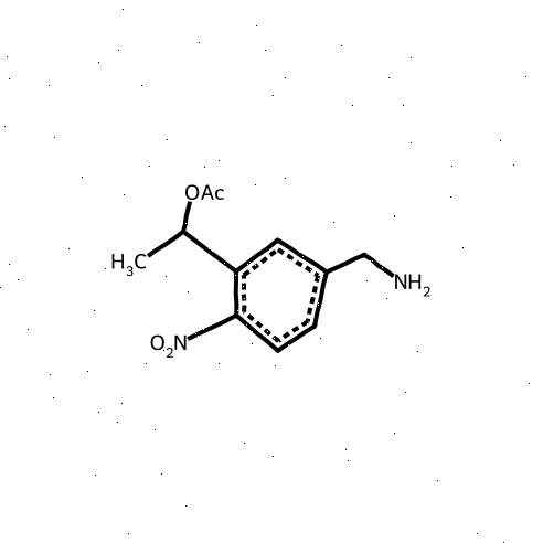 CC(=O)OC(C)c1cc(CN)ccc1[N+](=O)[O-]